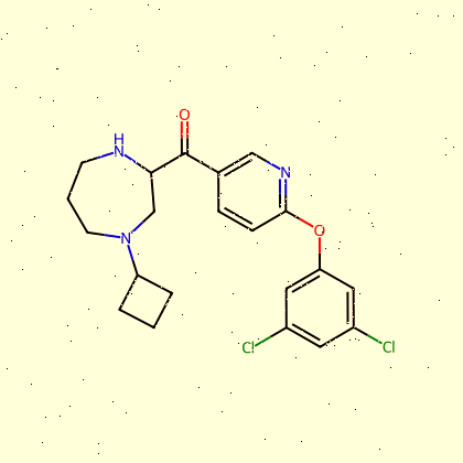 O=C(c1ccc(Oc2cc(Cl)cc(Cl)c2)nc1)C1CN(C2CCC2)CCCN1